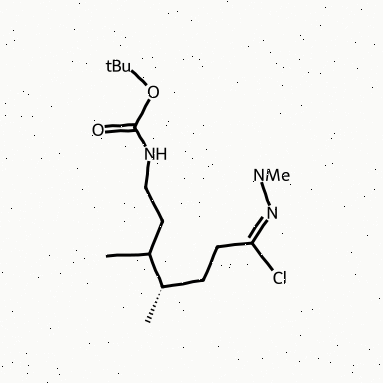 CN/N=C(/Cl)CC[C@H](C)C(C)CCNC(=O)OC(C)(C)C